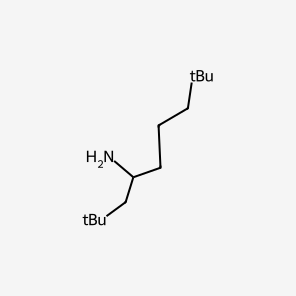 CC(C)(C)CCCC(N)CC(C)(C)C